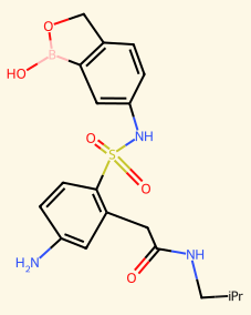 CC(C)CNC(=O)Cc1cc(N)ccc1S(=O)(=O)Nc1ccc2c(c1)B(O)OC2